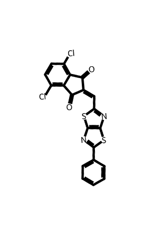 O=C1C(=Cc2nc3sc(-c4ccccc4)nc3s2)C(=O)c2c(Cl)ccc(Cl)c21